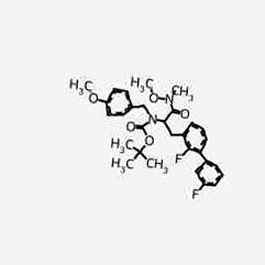 COc1ccc(CN(C(=O)OC(C)(C)C)C(Cc2cccc(-c3cccc(F)c3)c2F)C(=O)N(C)OC)cc1